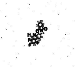 N[C@@H]1CC(CN2C(=O)c3ccccc3C2=O)=CC[C@H]1c1cc(F)c(F)cc1F